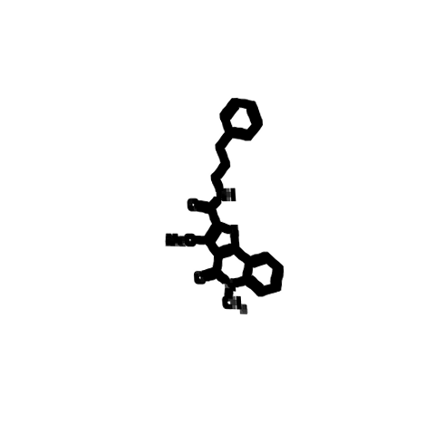 COc1c(C(=O)NCCCc2ccccc2)sc2c1c(=O)n(C)c1ccccc21